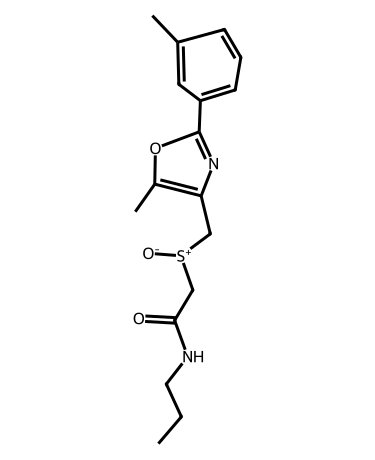 CCCNC(=O)C[S+]([O-])Cc1nc(-c2cccc(C)c2)oc1C